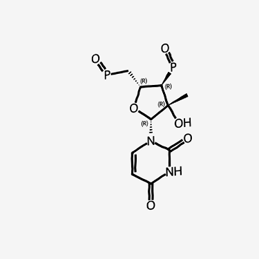 C[C@]1(O)[C@H](P=O)[C@@H](CP=O)O[C@H]1n1ccc(=O)[nH]c1=O